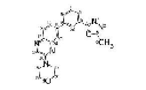 Cc1nnc(-c2cccc(-c3ccc4ncc(N5CCOCC5)nc4c3)c2)o1